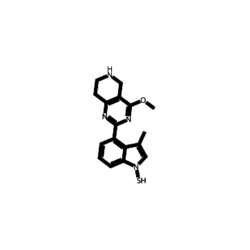 COc1nc(-c2cccc3c2c(C)cn3S)nc2c1CNCC2